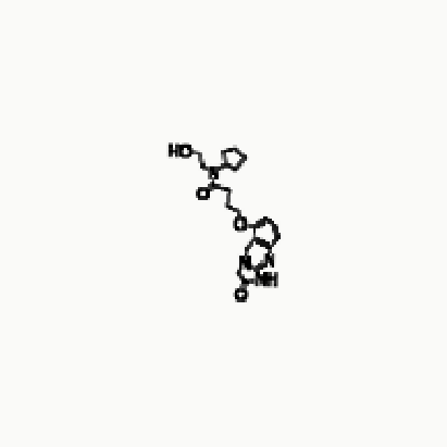 O=C1CN2Cc3c(cccc3OCCCC(=O)N(CCO)C3CCCC3)N=C2N1